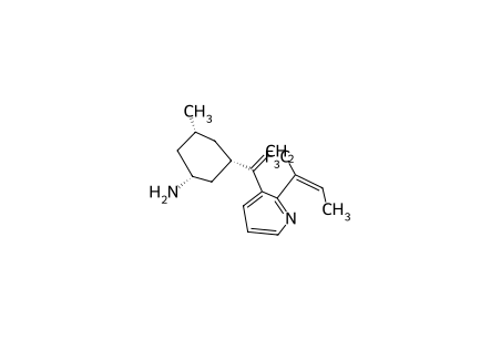 C=C(c1cccnc1/C(=C\C)C(F)(F)F)[C@H]1C[C@@H](C)C[C@@H](N)C1